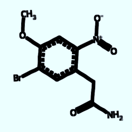 COc1cc([N+](=O)[O-])c(CC(N)=O)cc1Br